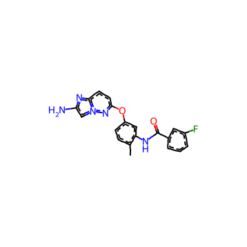 Cc1ccc(Oc2ccc3nc(N)cn3n2)cc1NC(=O)c1cccc(F)c1